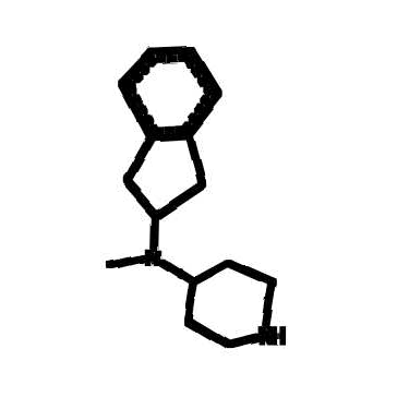 CN(C1CCNCC1)C1Cc2ccccc2C1